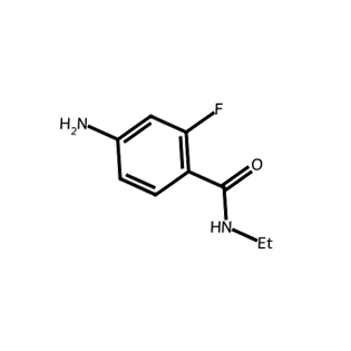 CCNC(=O)c1ccc(N)cc1F